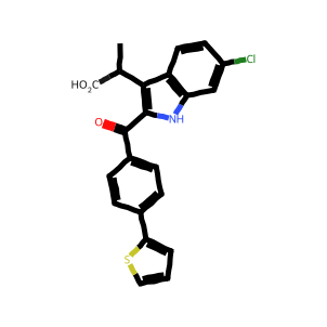 CC(C(=O)O)c1c(C(=O)c2ccc(-c3cccs3)cc2)[nH]c2cc(Cl)ccc12